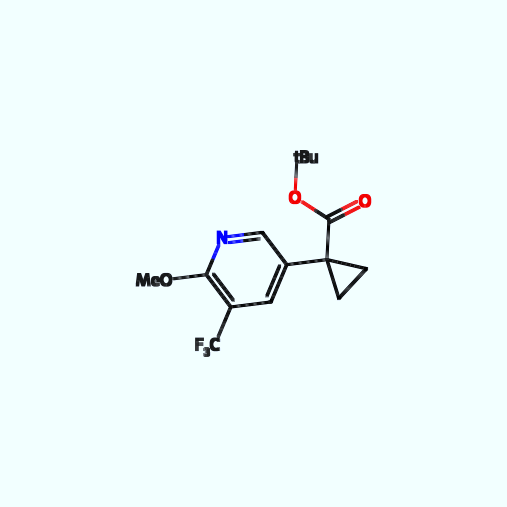 COc1ncc(C2(C(=O)OC(C)(C)C)CC2)cc1C(F)(F)F